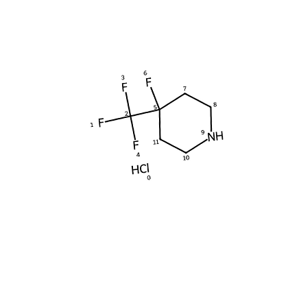 Cl.FC(F)(F)C1(F)CCNCC1